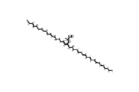 CCCCCCCCCCCCCCCCCCCCC(CCCCCCCCCCCCCCCCCC)CC(=O)O